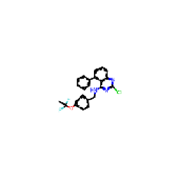 CC(F)(F)Oc1ccc(CNc2nc(Cl)nc3cccc(-c4ccccc4)c23)cc1